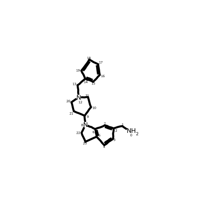 NCc1ccc2c(c1)N(C1CCN(Cc3ccccc3)CC1)CC2